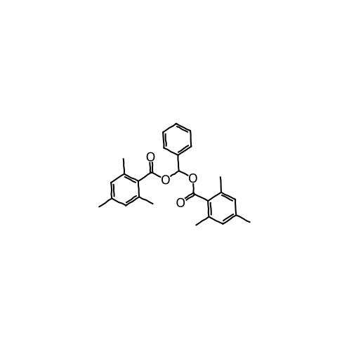 Cc1cc(C)c(C(=O)OC(OC(=O)c2c(C)cc(C)cc2C)c2ccccc2)c(C)c1